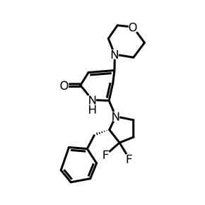 O=c1cc(N2CCOCC2)cc(N2CCC(F)(F)[C@@H]2Cc2ccccc2)[nH]1